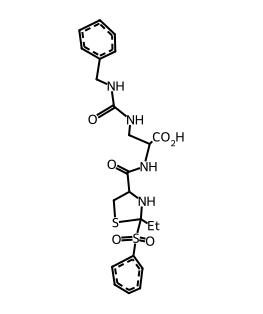 CCC1(S(=O)(=O)c2ccccc2)NC(C(=O)NC(CNC(=O)NCc2ccccc2)C(=O)O)CS1